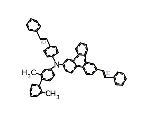 Cc1ccccc1-c1ccc(N(c2ccc(/C=C/c3ccccc3)cc2)c2ccc3c4ccc(/C=C/c5ccccc5)cc4c4ccccc4c3c2)cc1C